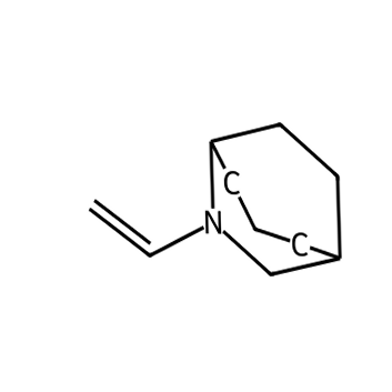 C=CN1CC2CCCC1CC2